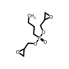 CCCCP(=O)(OCC1CO1)OCC1CO1